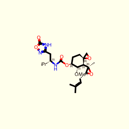 CO[C@@H]1[C@H](OC(=O)N[C@@H](Cc2noc(=O)[nH]2)C(C)C)CC[C@]2(CO2)[C@H]1[C@@]1(C)O[C@@H]1CC=C(C)C